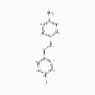 Nc1ccc(OCc2ccc(I)cc2)nc1